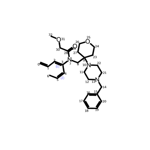 C=C/C=C(\C=C/C)N(CC1(N2CCN(Cc3ccccc3)CC2)CCOCC1)C(=O)COC